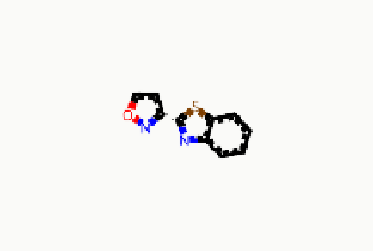 [c]1ccon1.[c]1nc2ccccc2s1